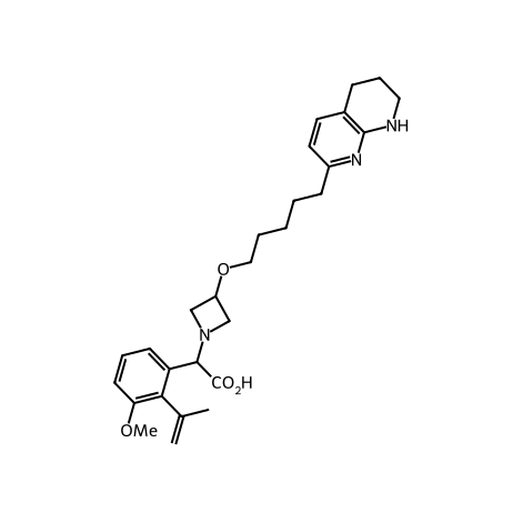 C=C(C)c1c(OC)cccc1C(C(=O)O)N1CC(OCCCCCc2ccc3c(n2)NCCC3)C1